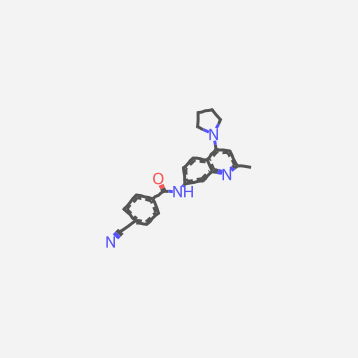 Cc1cc(N2CCCC2)c2ccc(NC(=O)c3ccc(C#N)cc3)cc2n1